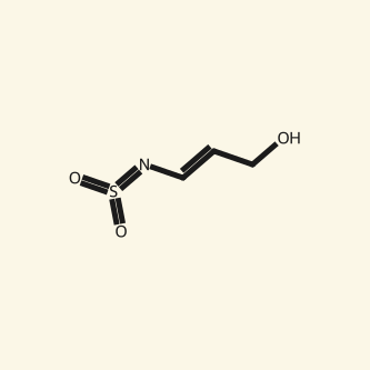 O=S(=O)=NC=CCO